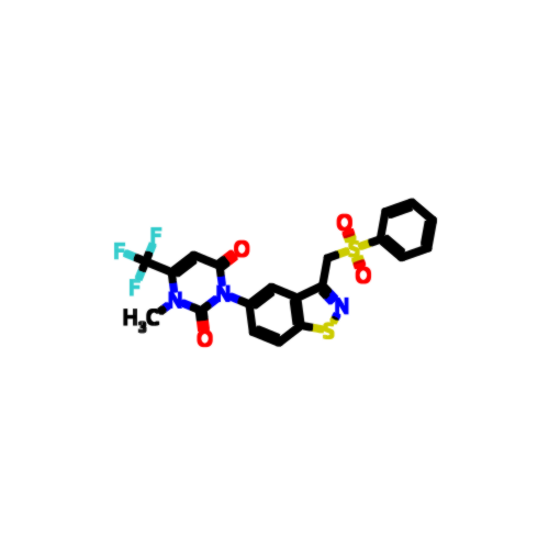 Cn1c(C(F)(F)F)cc(=O)n(-c2ccc3snc(CS(=O)(=O)c4ccccc4)c3c2)c1=O